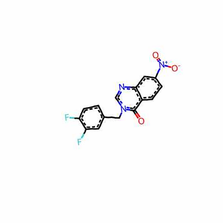 O=c1c2ccc([N+](=O)[O-])cc2ncn1Cc1ccc(F)c(F)c1